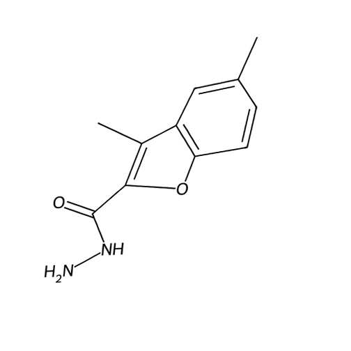 Cc1ccc2oc(C(=O)NN)c(C)c2c1